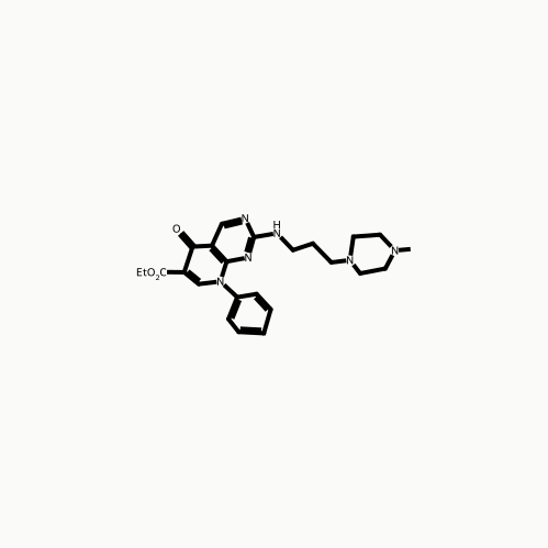 CCOC(=O)c1cn(-c2ccccc2)c2nc(NCCCN3CCN(C)CC3)ncc2c1=O